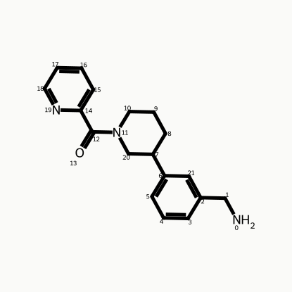 NCc1cccc(C2CCCN(C(=O)c3ccccn3)C2)c1